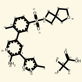 Cc1cc(-c2cc(-c3cc(S(=O)(=O)N4CC5(CCOC5)C4)ccc3C)cnc2N)on1.O=C(O)C(F)(F)F